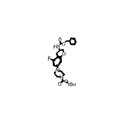 CC(C)(C)OC(=O)N1CCN(c2cc(F)c3c(c2)OCC(NC(=O)OCc2ccccc2)C3)CC1